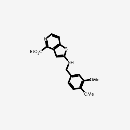 CCOC(=O)c1nccc2sc(NCc3ccc(OC)c(OC)c3)cc12